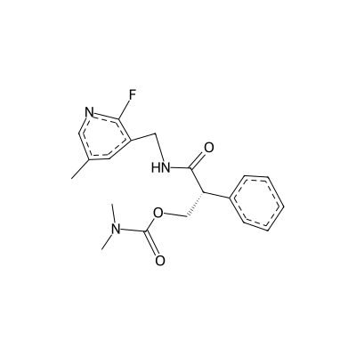 Cc1cnc(F)c(CNC(=O)[C@@H](COC(=O)N(C)C)c2ccccc2)c1